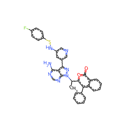 CC(c1oc(=O)c2ccccc2c1-c1ccccc1)n1nc(-c2cncc(NSc3ccc(F)cc3)c2)c2c(N)ncnc21